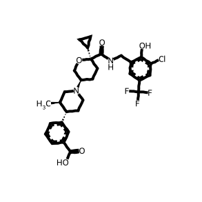 C[C@H]1CN([C@@H]2CC[C@@](C(=O)NCc3cc(C(F)(F)F)cc(Cl)c3O)(C3CC3)OC2)CC[C@@H]1c1cccc(C(=O)O)c1